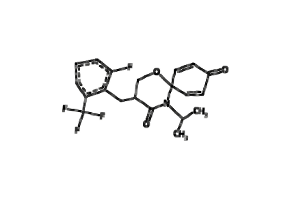 CC(C)N1C(=O)C(Cc2c(F)cccc2C(F)(F)F)COC12C=CC(=O)C=C2